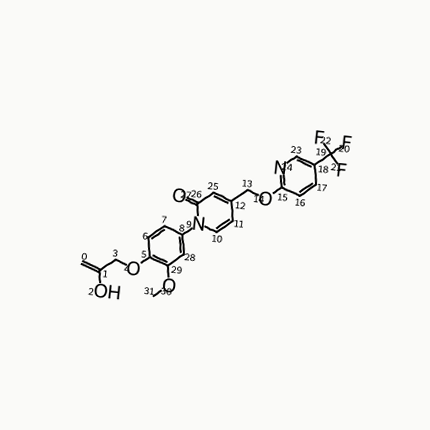 C=C(O)COc1ccc(-n2ccc(COc3ccc(C(F)(F)F)cn3)cc2=O)cc1OC